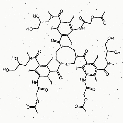 CC(=O)OCC(=O)NC1=C(I)C(C(=O)N(C)CC(O)CO)C(I)C(C(=O)N2CCN(C(=O)c3c(I)c(NC(=O)COC(C)=O)c(I)c(C(=O)N(C)CC(O)CO)c3I)CCN(C(=O)C3C(I)=C(C(=O)N(C)CC(O)CO)C(I)=C(NC(=O)COC(C)=O)C3I)CC2)=C1I